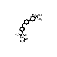 CC1=NN(C(N)=O)NN1c1ccc(Cc2ccc(-c3ccc(C(C)(C)O)cn3)cc2)cc1